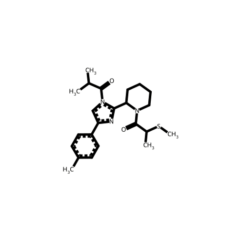 CSC(C)C(=O)N1CCCCC1c1nc(-c2ccc(C)cc2)cn1C(=O)C(C)C